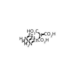 CCN.CCN.CCN.O=C(O)N(C(=O)O)C(=O)O